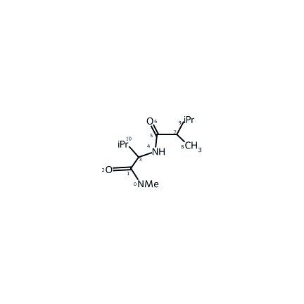 CNC(=O)C(NC(=O)C(C)C(C)C)C(C)C